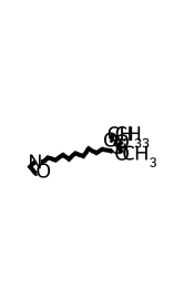 CO[Si](CCCCCCCCCCC1=NCCO1)(OC)OC